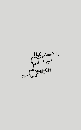 CC1(c2cccc(-c3cc(Cl)ccc3Cl)c2)COCC(N)=N1.O=CO